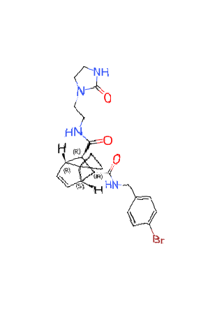 O=C(NCCN1CCNC1=O)[C@H]1[C@H](C(=O)NCc2ccc(Br)cc2)[C@@H]2C=C[C@H]1C21CC1